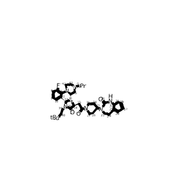 CC(C)N1CCN(c2c(F)cccc2[C@@H]2S[C@@H](CC(=O)N3CCC(N4CCc5ccccc5NC4=O)CC3)C(=O)N2CCC(C)(C)C)CC1